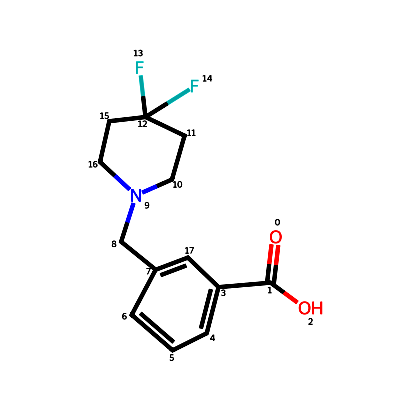 O=C(O)c1cccc(CN2CCC(F)(F)CC2)c1